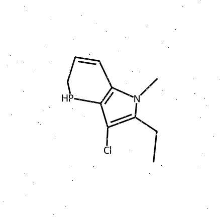 CCc1c(Cl)c2c(n1C)C=CCP2